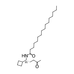 CCCCCCCCCCCCCCCC(=O)N[C@H](CCC(C)=O)C1CCC1